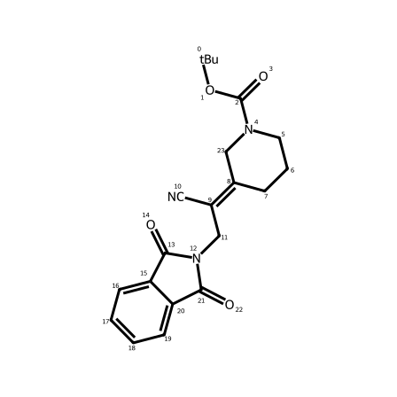 CC(C)(C)OC(=O)N1CCCC(=C(C#N)CN2C(=O)c3ccccc3C2=O)C1